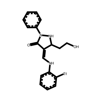 CCc1ccccc1NC=C1C(=O)N(c2ccccc2)NC1CCO